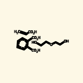 C=CC(=O)O.O=C(O)c1ccccc1C(=O)O.OCCOCCO